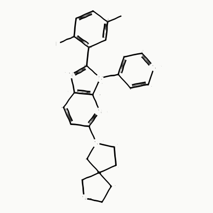 Fc1ccc(Cl)cc1-c1nc2ccc(N3CCC4(CCNC4)C3)nc2n1-c1ccncc1